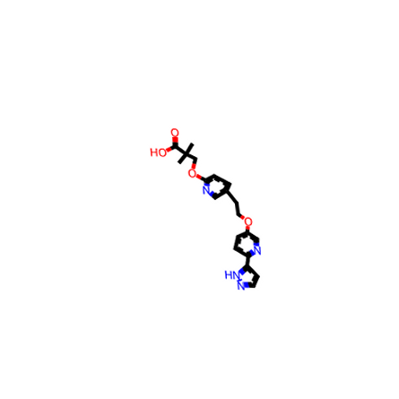 CC(C)(COc1ccc(CCOc2ccc(-c3ccn[nH]3)nc2)cn1)C(=O)O